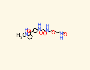 CNC1=C(C(=O)c2ccc(NC(=O)CC(=O)NCCOCCCNC=O)cc2)CCCC1